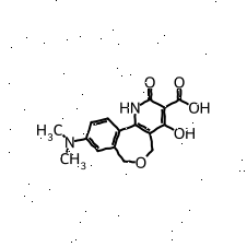 CN(C)c1ccc2c(c1)COCc1c-2[nH]c(=O)c(C(=O)O)c1O